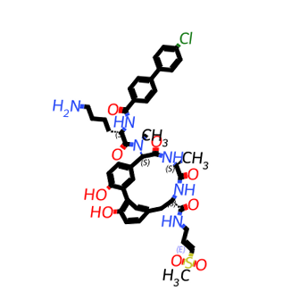 C[C@@H]1NC(=O)[C@@H](N(C)C(=O)[C@H](CCCCN)NC(=O)c2ccc(-c3ccc(Cl)cc3)cc2)c2ccc(O)c(c2)-c2cc(ccc2O)C[C@@H](C(=O)NC/C=C/S(C)(=O)=O)NC1=O